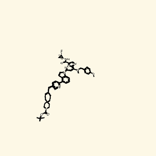 COc1ccc(CN(C)c2cc(N3CCc4c(-c5ccc(CC6CCC7(CC6)CCN(C(=O)OC(C)(C)C)CC7)cn5)cccc43)nn3c(C(=O)N[C@@H]4C[C@@H]4F)cnc23)cc1